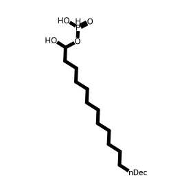 CCCCCCCCCCCCCCCCCCCCCC(O)O[PH](=O)O